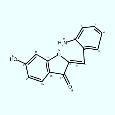 Nc1ccccc1/C=C1\Oc2cc(O)ccc2C1=O